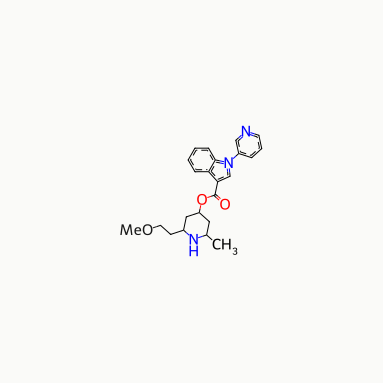 COCCC1CC(OC(=O)c2cn(-c3cccnc3)c3ccccc23)CC(C)N1